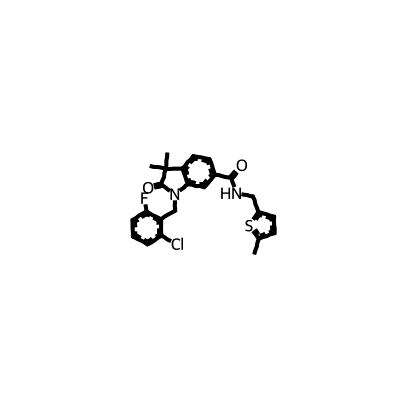 Cc1ccc(CNC(=O)c2ccc3c(c2)N(Cc2c(F)cccc2Cl)C(=O)C3(C)C)s1